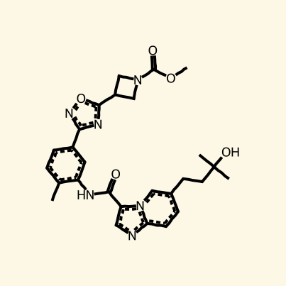 COC(=O)N1CC(c2nc(-c3ccc(C)c(NC(=O)c4cnc5ccc(CCC(C)(C)O)cn45)c3)no2)C1